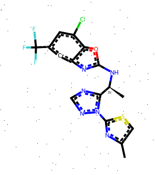 Cc1csc(-n2ncnc2[C@H](C)Nc2nc3cc(C(F)(F)F)cc(Cl)c3o2)n1